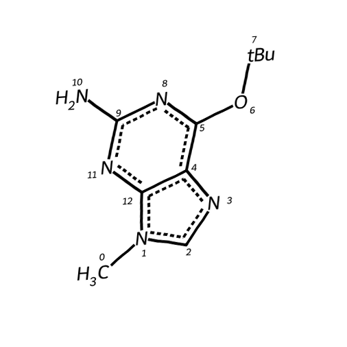 Cn1cnc2c(OC(C)(C)C)nc(N)nc21